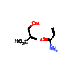 C=C(CO)C(=O)O.C=CC(N)=O